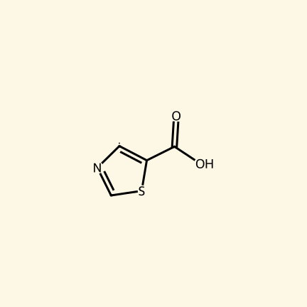 O=C(O)c1[c]ncs1